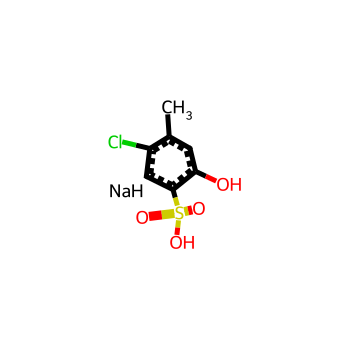 Cc1cc(O)c(S(=O)(=O)O)cc1Cl.[NaH]